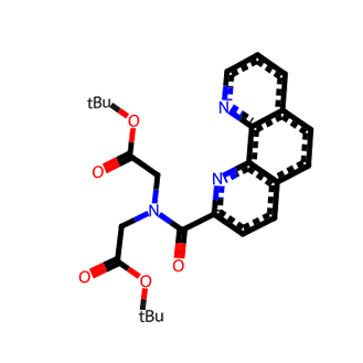 CC(C)(C)OC(=O)CN(CC(=O)OC(C)(C)C)C(=O)c1ccc2ccc3cccnc3c2n1